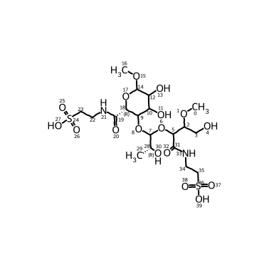 COC(CO)C(OC(OC1C(O)C(O)C(OC)O[C@H]1C(=O)NCCS(=O)(=O)O)[C@@H](C)O)C(=O)NCCS(=O)(=O)O